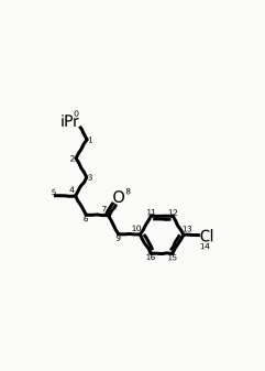 CC(C)CCCC(C)CC(=O)Cc1ccc(Cl)cc1